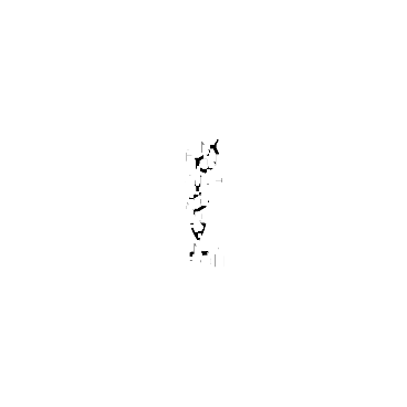 CCN(C(=O)O)C1C2CN(c3cnc(C(=O)Nc4cc(F)c5nc(C)cn5c4)cn3)CC21